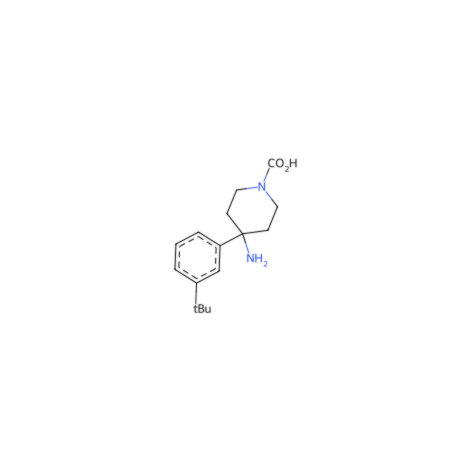 CC(C)(C)c1cccc(C2(N)CCN(C(=O)O)CC2)c1